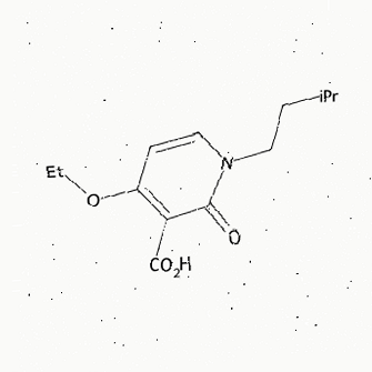 CCOc1ccn(CCC(C)C)c(=O)c1C(=O)O